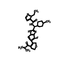 CCn1nccc1C(=O)N[C@H](c1nc2c(F)c(C3=C(C(=O)N(C)C)CCOC3)ccc2[nH]1)C1CCC(C)CC1